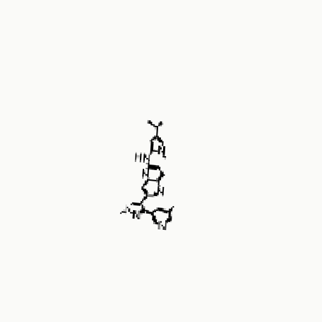 Cc1cncc(-c2nn(C)cc2-c2cnc3ccc(Nc4cc(C(C)C)cn4C)nc3c2)c1